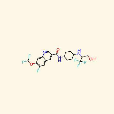 O=C(N[C@H]1CC[C@H](N[C@@H](CO)C(F)(F)F)CC1)c1cnc2cc(OC(F)F)c(F)cc2c1